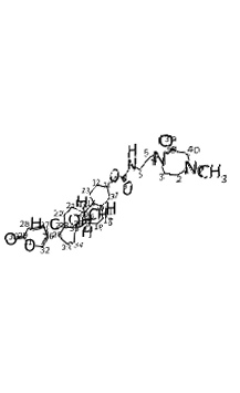 CN1CCN(CCNC(=O)O[C@H]2CC[C@@]3(C)[C@H](CC[C@@H]4[C@@H]3CC[C@]3(C)[C@@H](c5ccc(=O)oc5)[CH]C[C@]43O)C2)C(=O)C1